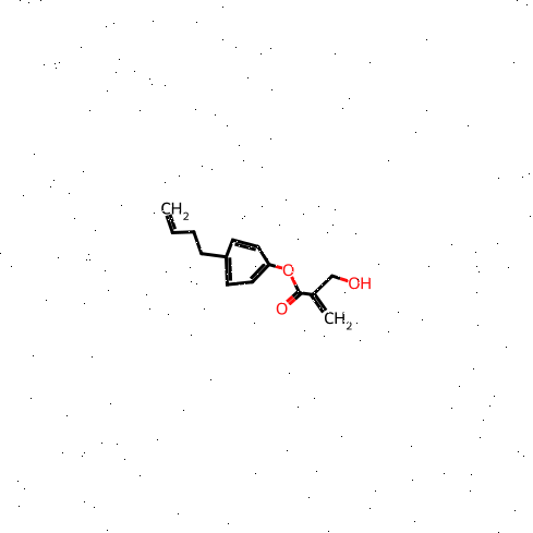 C=CCCc1ccc(OC(=O)C(=C)CO)cc1